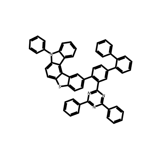 c1ccc(-c2nc(-c3ccccc3)nc(-c3cc(-c4ccccc4-c4ccccc4)ccc3-c3ccc4sc5ccc6c(c7ccccc7n6-c6ccccc6)c5c4c3)n2)cc1